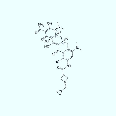 CN(C)c1cc(NC(=O)C2CN(CC3CC3)C2)c(O)c2c1C[C@H]1C[C@H]3[C@H](N(C)C)C(O)=C(C(N)=O)C(=O)[C@@]3(O)C(O)=C1C2=O